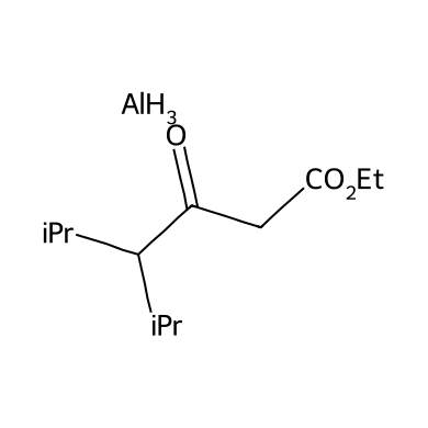 CCOC(=O)CC(=O)C(C(C)C)C(C)C.[AlH3]